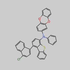 Clc1ccc(-c2ccc(N(c3ccccc3)c3ccc4c(c3)Oc3ccccc3O4)c3sc4ccccc4c23)c2ccccc12